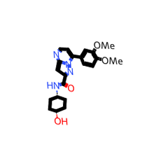 COc1ccc(-c2ccnc3cc(C(=O)N[C@H]4CC[C@@H](O)CC4)nn23)cc1OC